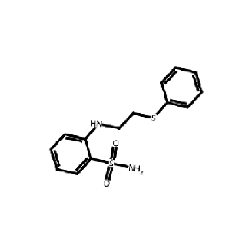 NS(=O)(=O)c1ccccc1NCCSc1ccccc1